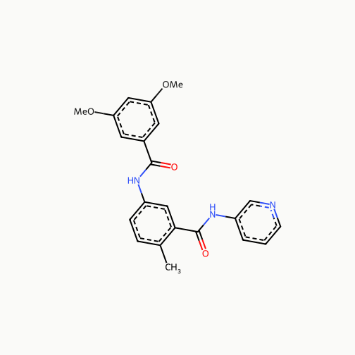 COc1cc(OC)cc(C(=O)Nc2ccc(C)c(C(=O)Nc3cccnc3)c2)c1